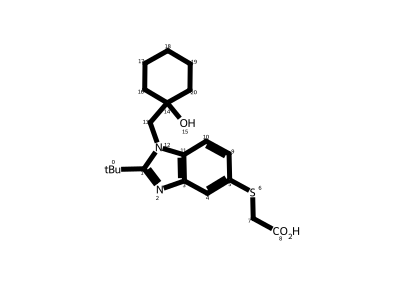 CC(C)(C)c1nc2cc(SCC(=O)O)ccc2n1CC1(O)CCCCC1